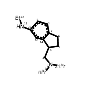 CCCN(CCC)CC1CCc2ccc(NCC)cc21